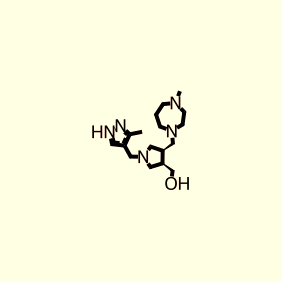 Cc1n[nH]cc1CN1C[C@@H](CN2CCCN(C)CC2)[C@@H](CO)C1